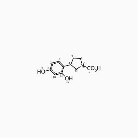 O=C(O)N1CCC(c2ccc(O)cc2O)C1